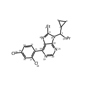 CCCC(C1CC1)n1c(CC)nc2c(-c3ccc(Cl)cc3Cl)ncnc21